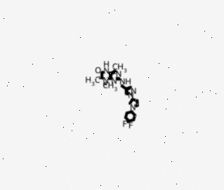 Cc1nc(NCc2cnn(C3CCN(C4CCC(F)(F)CC4)C3)c2)nc2c1NC(=O)[C@H](C)N2C